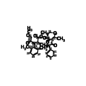 CC1=C(C(=O)Nc2ccccc2)S(=O)(=O)CCO1.COCC(=O)N(c1c(C)cccc1C)C(C)C(=O)OC